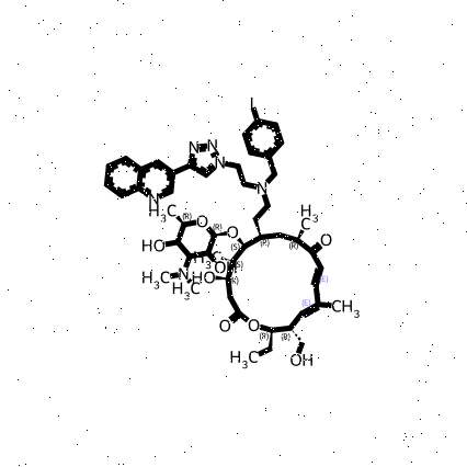 CC[C@H]1OC(=O)C[C@@H](O)[C@H](C)[C@@H](O[C@@H]2O[C@H](C)C(O)C(N(C)C)C2O)[C@@H](CCN(CCn2cc(-c3cnc4ccccc4c3)nn2)Cc2ccc(I)cc2)C[C@@H](C)C(=O)/C=C/C(C)=C/[C@@H]1CO